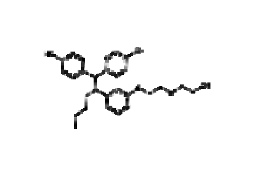 CCCCC(=C(c1ccc(O)cc1)c1ccc(O)cc1)c1cccc(OCCOCCO)c1